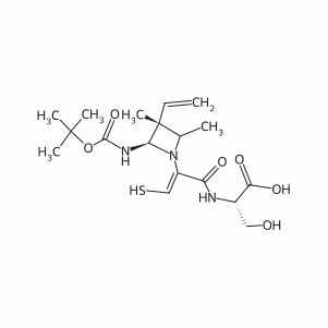 C=C[C@]1(C)C(C)N(/C(=C\S)C(=O)N[C@@H](CO)C(=O)O)[C@H]1NC(=O)OC(C)(C)C